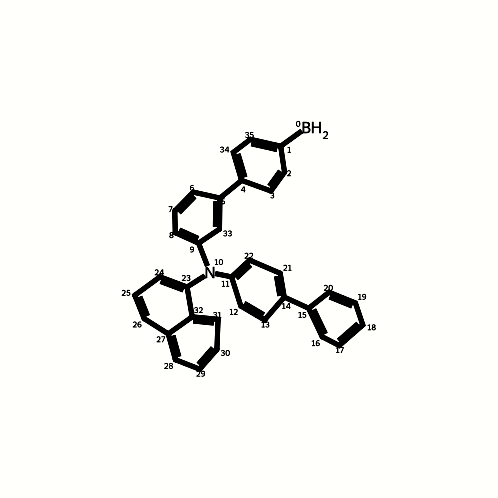 Bc1ccc(-c2cccc(N(c3ccc(-c4ccccc4)cc3)c3cccc4ccccc34)c2)cc1